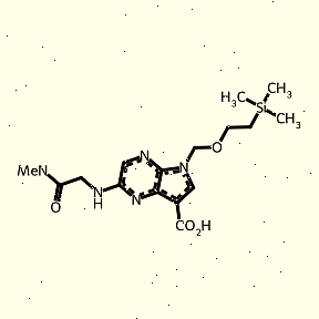 CNC(=O)CNc1cnc2c(n1)c(C(=O)O)cn2COCC[Si](C)(C)C